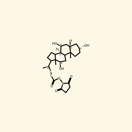 C[C@H](CCC(=O)ON1C(=O)CCC1=O)C1CCC2[C@@H]3C(C[C@@H](O)C21C)C1(C)CC[C@@H](O)C[C@H]1C[C@@H]3O